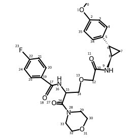 COc1ccc([C@@H]2C[C@H]2NC(=O)COCC(NC(=O)c2ccc(F)cc2)C(=O)N2CCOCC2)cc1